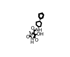 Cn1c(C(=O)N[C@H]2CC[C@@H](c3ccccc3)CC2)c(O)c(=O)[nH]c1=O